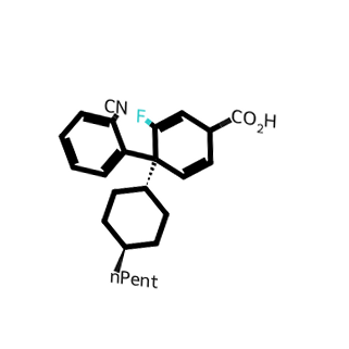 CCCCC[C@H]1CC[C@H](C2(c3ccccc3C#N)C=CC(C(=O)O)C=C2F)CC1